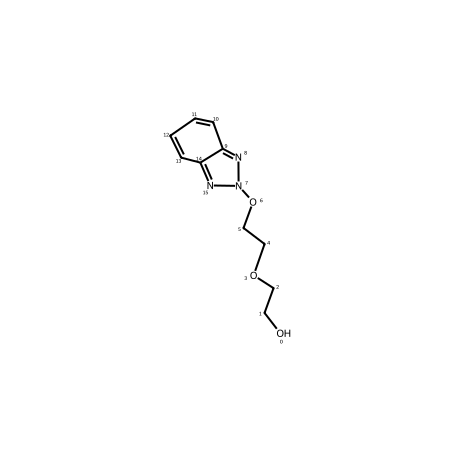 OCCOCCOn1nc2ccccc2n1